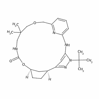 CC1(C)CNC(=O)O[C@@H]2CC[C@@H](C2)c2cc(n(C(C)(C)C)n2)Nc2cccc(n2)COC1